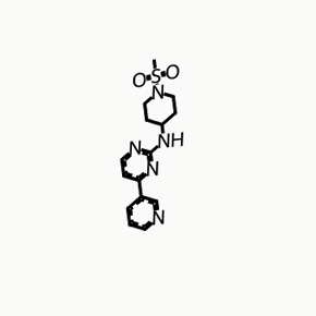 CS(=O)(=O)N1CCC(Nc2nccc(-c3cccnc3)n2)CC1